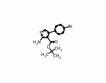 CC(C)(C)OC(=O)c1c(-c2ccc(Br)cc2)csc1N